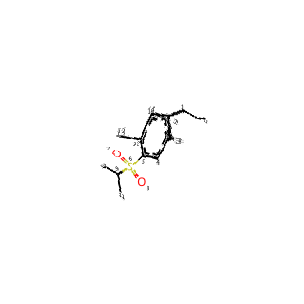 CCc1ccc(S(=O)(=O)C(C)C)c(C)c1